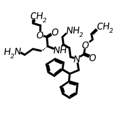 C=CCOC(=O)[C@@H](CCCN)NC(CN)CCN(CC(c1ccccc1)c1ccccc1)C(=O)OCC=C